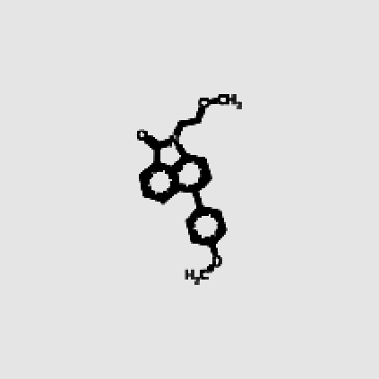 COCCN1C(=O)c2cccc3c(-c4ccc(OC)cc4)ccc1c23